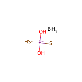 OP(O)(=S)S.[BiH3]